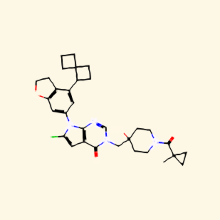 CC1(C(=O)N2CCC(O)(Cn3cnc4c(cc(Cl)n4-c4cc5c(c(C6CCC67CCC7)c4)CCO5)c3=O)CC2)CC1